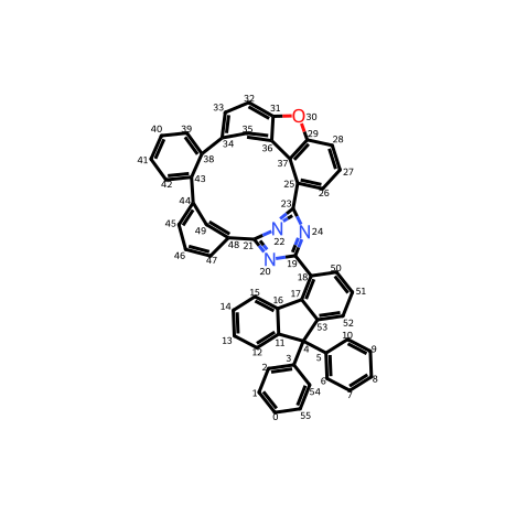 c1ccc(C2(c3ccccc3)c3ccccc3-c3c(-c4nc5nc(n4)c4cccc6oc7ccc(cc7c64)c4ccccc4c4cccc5c4)cccc32)cc1